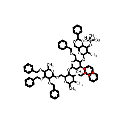 CC1OC(COC2OC(C)C(OCc3ccccc3)C(OCc3ccccc3)C2OCc2ccccc2)C(OC2OC(COCc3ccccc3)C(OC3OC4COC(c5ccccc5)OC4C(O[Si](C)(C)C(C)(C)C)C3C)C(OCc3ccccc3)C2C)C(OCc2ccccc2)C1C